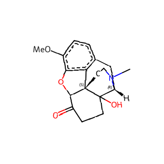 COc1ccc2c3c1OC1C(=O)CCC4(O)[C@@H](C2)N(C)CC[C@]314